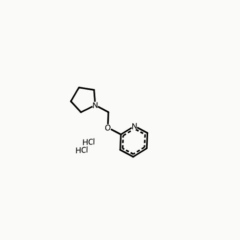 Cl.Cl.c1ccc(OCN2CCCC2)nc1